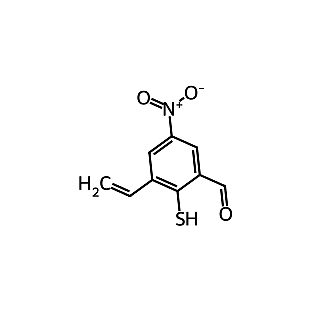 C=Cc1cc([N+](=O)[O-])cc(C=O)c1S